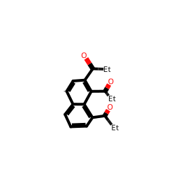 CCC(=O)c1c[c]c2cccc(C(=O)CC)c2c1C(=O)CC